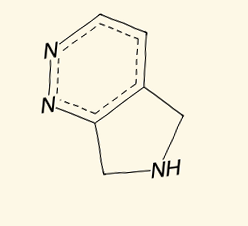 c1cc2c(nn1)CNC2